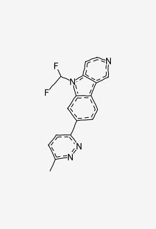 Cc1ccc(-c2ccc3c4cnccc4n(C(F)F)c3c2)nn1